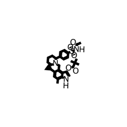 CC(=O)NS(=O)(=O)c1ccc(C2CCCCN2Cc2c(C3CC3)cc(C)c3[nH]cc(OC(=O)C(C)(C)C)c23)cc1